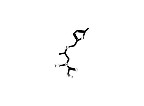 Cc1ccc(COC(C)CN(O)C(N)=O)o1